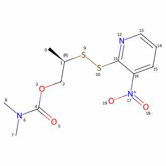 C[C@H](COC(=O)N(C)C)SSc1ncccc1[N+](=O)[O-]